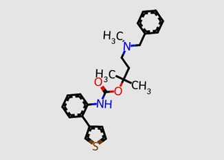 CN(CCC(C)(C)OC(=O)Nc1ccccc1-c1ccsc1)Cc1ccccc1